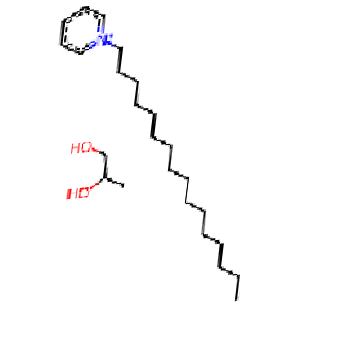 CC(O)CO.CCCCCCCCCCCCCCCC[n+]1ccccc1